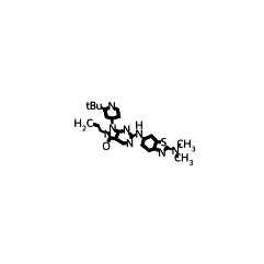 C=CCn1c(=O)c2cnc(Nc3ccc4nc(N(C)C)sc4c3)nc2n1-c1ccnc(C(C)(C)C)c1